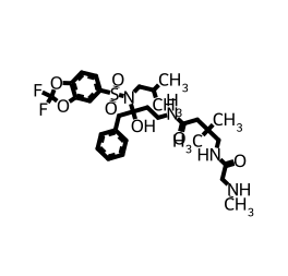 CNCC(=O)NCC(C)(C)CC(=O)NCCC(O)(Cc1ccccc1)N(CC(C)C)S(=O)(=O)c1ccc2c(c1)OC(F)(F)O2